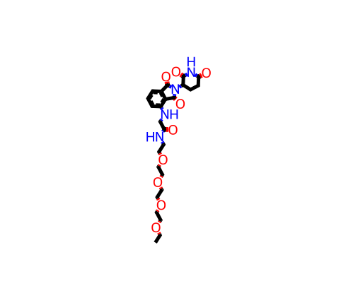 CCOCCOCCOCCOCCNC(=O)CNc1cccc2c1C(=O)N(C1CCC(=O)NC1=O)C2=O